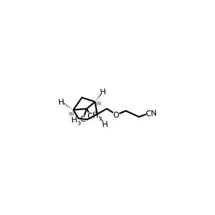 CC1(C)[C@H]2CC[C@H](COCCC#N)[C@@H]1C2